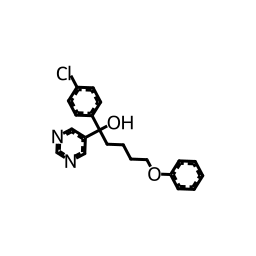 OC(CCCCOc1ccccc1)(c1ccc(Cl)cc1)c1cncnc1